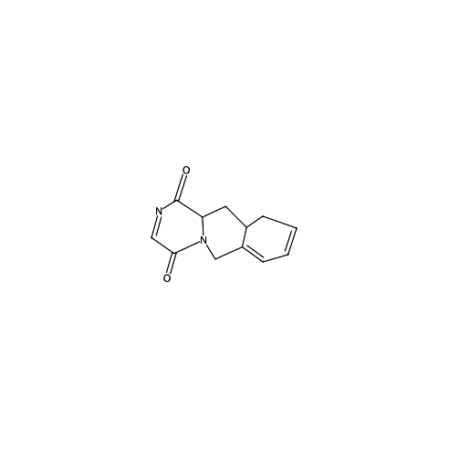 O=C1N=CC(=O)N2CC3=CC=CCC3CC12